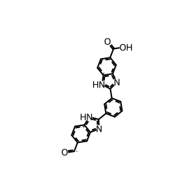 O=[C]c1ccc2[nH]c(-c3cccc(-c4nc5cc(C(=O)O)ccc5[nH]4)c3)nc2c1